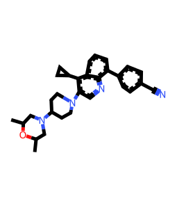 CC1CN(C2CCN(c3cnc4c(-c5ccc(C#N)cc5)cccc4c3C3CC3)CC2)CC(C)O1